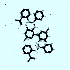 C=C(C)c1ccccc1OP(Oc1c(C)cc(C)cc1-c1cc(C)cc(C)c1OP(Oc1ccccc1C(=C)C)c1ccccc1)c1ccccc1